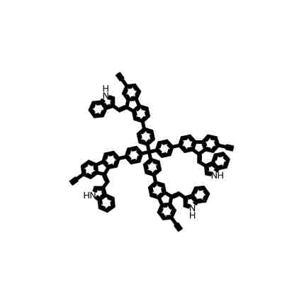 C#Cc1ccc2c(c1)/C(=C\c1c[nH]c3ccccc13)c1cc(-c3ccc(C(c4ccc(-c5ccc6c(c5)/C(=C/c5c[nH]c7ccccc57)c5cc(C#C)ccc5-6)cc4)(c4ccc(-c5ccc6c(c5)/C(=C/c5c[nH]c7ccccc57)c5cc(C#C)ccc5-6)cc4)c4ccc(-c5ccc6c(c5)/C(=C/c5c[nH]c7ccccc57)c5cc(C#C)ccc5-6)cc4)cc3)ccc1-2